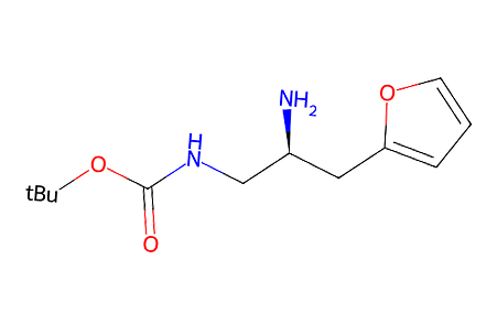 CC(C)(C)OC(=O)NC[C@@H](N)Cc1ccco1